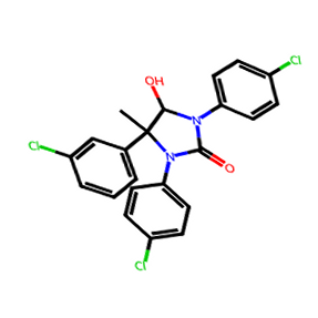 CC1(c2cccc(Cl)c2)C(O)N(c2ccc(Cl)cc2)C(=O)N1c1ccc(Cl)cc1